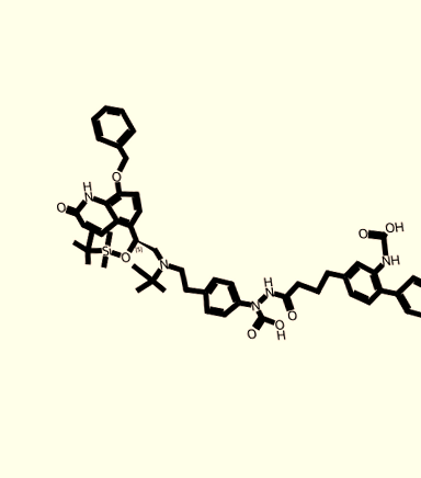 CC(C)(C)N(CCc1ccc(N(NC(=O)CCCc2ccc(-c3ccccc3)c(NC(=O)O)c2)C(=O)O)cc1)C[C@@H](O[Si](C)(C)C(C)(C)C)c1ccc(OCc2ccccc2)c2[nH]c(=O)ccc12